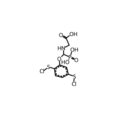 O=C(O)CNC(Oc1cc(SCl)ccc1SCl)P(=O)(O)O